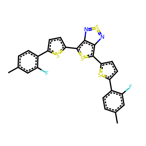 Cc1ccc(-c2ccc(-c3sc(-c4ccc(-c5ccc(C)cc5F)s4)c4c3N=S=N4)s2)c(F)c1